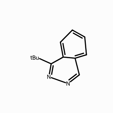 CC(C)(C)c1nncc2ccccc12